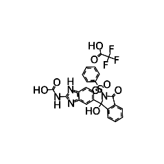 O=C(O)C(F)(F)F.O=C(O)Nc1nc2cc(C3(O)c4ccccc4C(=O)N3S(=O)(=O)c3ccccc3)ccc2[nH]1